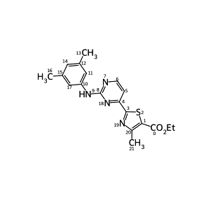 CCOC(=O)c1sc(-c2ccnc(Nc3cc(C)cc(C)c3)n2)nc1C